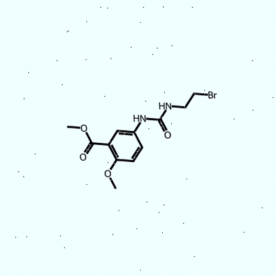 COC(=O)c1cc(NC(=O)NCCBr)ccc1OC